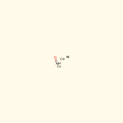 [Co].[Cu].[Ni].[O]=[AlH]